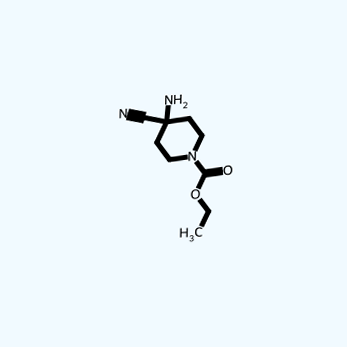 CCOC(=O)N1CCC(N)(C#N)CC1